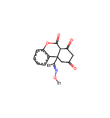 CCON=C(CC)C12CC(=O)CC(=O)C1C(=O)Oc1ccccc12